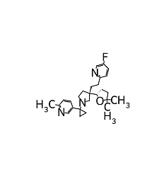 Cc1ccc(C2(N3CC[C@](CCc4ccc(F)cn4)([C@@H]4CCC(C)(C)O4)C3)CC2)cn1